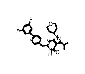 CC(C)c1nn(C2CCOCC2)c2nc(Cc3ccc(-c4cc(F)cc(F)c4)nc3)[nH]c(=O)c12